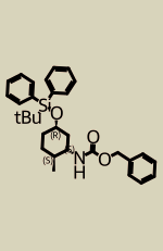 C[C@H]1CC[C@@H](O[Si](c2ccccc2)(c2ccccc2)C(C)(C)C)C[C@@H]1NC(=O)OCc1ccccc1